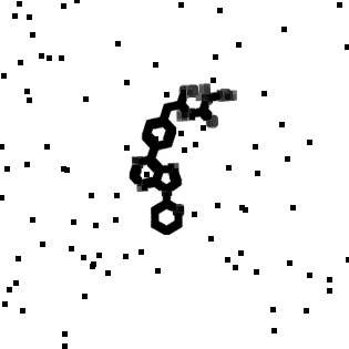 CC(C)(C)OC(=O)NC(Cc1ccc(-c2ncnc3c2ncn3C2CCCCO2)cc1)C(=O)O